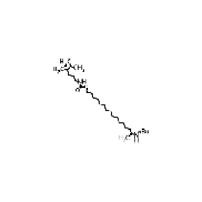 C=C(CCCCCCCCCCCCCCSC(=O)NCCCC(=C)C(=C)C)NCCCC